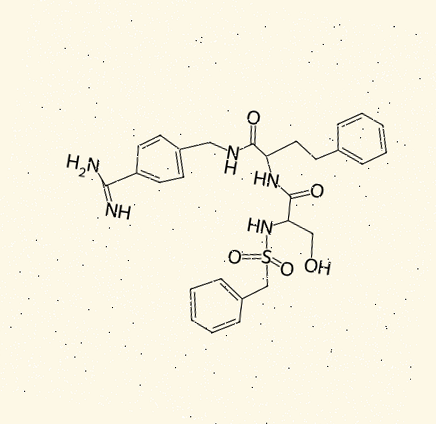 N=C(N)c1ccc(CNC(=O)C(CCc2ccccc2)NC(=O)C(CO)NS(=O)(=O)Cc2ccccc2)cc1